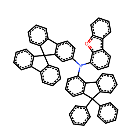 c1ccc(C2(c3ccccc3)c3ccccc3-c3c(N(c4ccc5c(c4)C4(c6ccccc6-c6ccccc64)c4ccccc4-5)c4cccc5c4oc4ccccc45)cccc32)cc1